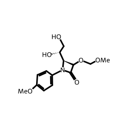 COCOC1C(=O)N(c2ccc(OC)cc2)[C@H]1[C@H](O)CO